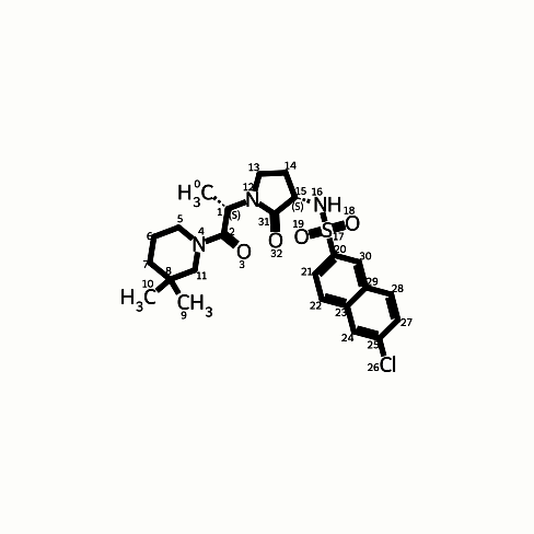 C[C@@H](C(=O)N1CCCC(C)(C)C1)N1CC[C@H](NS(=O)(=O)c2ccc3cc(Cl)ccc3c2)C1=O